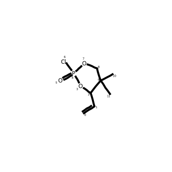 C=CC1OP(=O)(Cl)OCC1(C)C